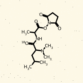 CC(C)CC(C(=[18O])NC(C)C(=O)ON1C(=O)CCC1=O)N(C)C